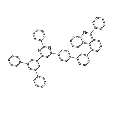 c1ccc(-c2cc(-c3ccccc3)cc(-c3cc(-c4ccc(-c5cccc(-c6cccc7c(-c8ccccc8)nc8ccccc8c67)c5)cc4)nc(-c4ccccc4)n3)c2)cc1